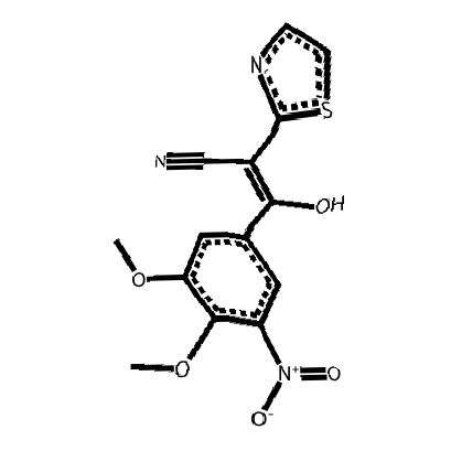 COc1cc(/C(O)=C(\C#N)c2nccs2)cc([N+](=O)[O-])c1OC